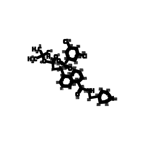 CC(C)(C)OC(=O)CN(c1cccc2c(C(=O)NCc3ccncc3)cccc12)S(=O)(=O)c1cc(Cl)cc(Cl)c1